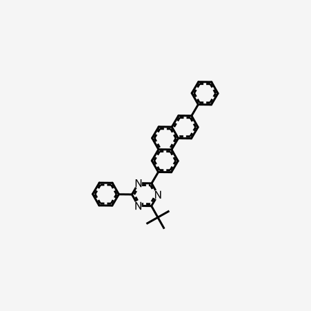 CC(C)(C)c1nc(-c2ccccc2)nc(-c2ccc3c(ccc4cc(-c5ccccc5)ccc43)c2)n1